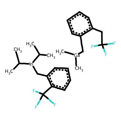 C[CH](C)[In]([CH2]c1ccccc1C(F)(F)F)[CH](C)C.[CH3][Ga]([CH3])[CH2]c1ccccc1CC(F)(F)F